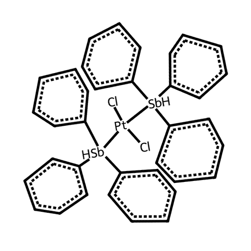 [Cl][Pt]([Cl])([SbH]([c]1ccccc1)([c]1ccccc1)[c]1ccccc1)[SbH]([c]1ccccc1)([c]1ccccc1)[c]1ccccc1